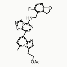 CC(=O)OCCc1cnc2c(-c3cnc(NCc4c(F)ccc5c4CCO5)n4cnnc34)ccc(C)n12